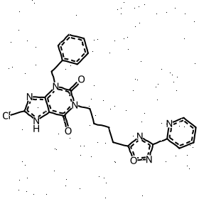 O=c1c2[nH]c(Cl)nc2n(Cc2ccccc2)c(=O)n1CCCCc1nc(-c2ccccn2)no1